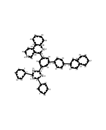 c1ccc(-c2nc(-c3ccccc3)nc(-c3cc(-c4ccc(-c5ccc6ccccc6c5)cc4)cc(-c4nc5ccccc5c5ccncc45)c3)n2)cc1